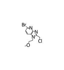 COCCn1c(CCl)nc2nc(Br)ccc21